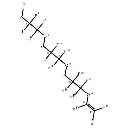 FCC(F)(F)C(F)(F)OCC(F)(F)C(F)(F)OCC(F)(F)C(F)(F)OC(F)=C(F)F